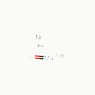 [Cu].[Fe].[Ni].[O]=[Mn]